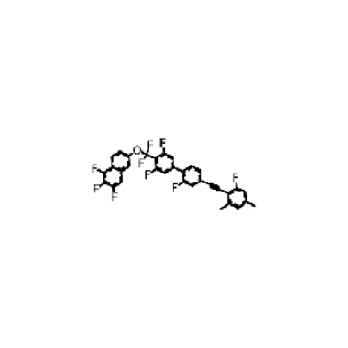 Cc1cc(C)c(C#Cc2ccc(-c3cc(F)c(C(F)(F)Oc4ccc5c(F)c(F)c(F)cc5c4)c(F)c3)c(F)c2)c(F)c1